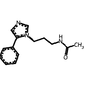 CC(=O)NCCCn1cncc1-c1ccccc1